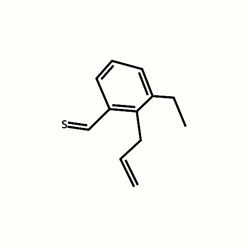 C=CCc1c(C=S)cccc1CC